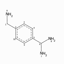 NCc1ccc(C(N)N)cc1